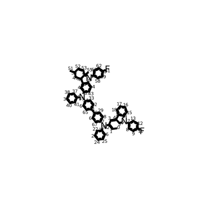 C/C=C(\C=C1/CN(c2ccc(F)cc2)c2ccccc21)N(c1ccccc1)c1ccc(-c2ccc(N(c3ccccc3)c3ccc4c(c3)C3CC(C)C=CC3(C)N4c3ccc(F)cc3)cc2)cc1